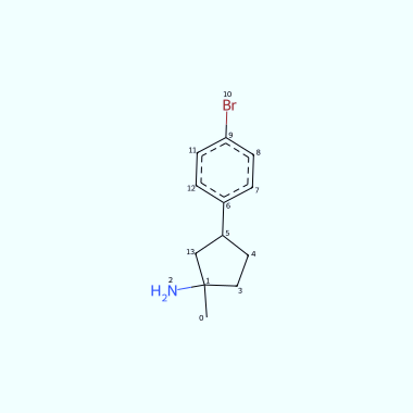 CC1(N)CCC(c2ccc(Br)cc2)C1